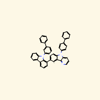 c1ccc(-c2ccc(-n3c4ccc(-c5cccc6c7ccccc7n(-c7cccc(-c8ccccc8)c7)c56)cc4c4ncccc43)cc2)cc1